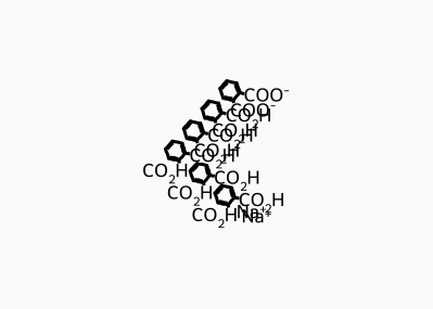 O=C(O)c1ccccc1C(=O)O.O=C(O)c1ccccc1C(=O)O.O=C(O)c1ccccc1C(=O)O.O=C(O)c1ccccc1C(=O)O.O=C(O)c1ccccc1C(=O)O.O=C([O-])c1ccccc1C(=O)[O-].[Na+].[Na+]